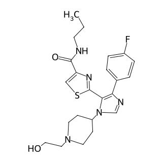 CCCNC(=O)c1csc(-c2c(-c3ccc(F)cc3)ncn2C2CCN(CCO)CC2)n1